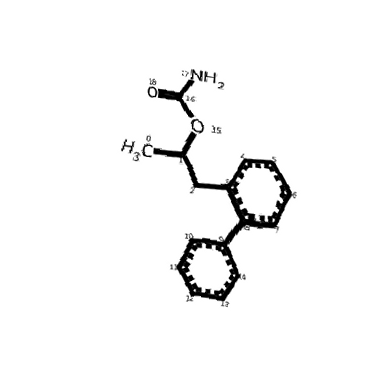 CC(Cc1ccccc1-c1ccccc1)OC(N)=O